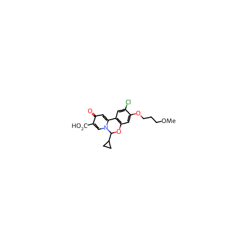 COCCCOc1cc2c(cc1Cl)-c1cc(=O)c(C(=O)O)cn1C(C1CC1)O2